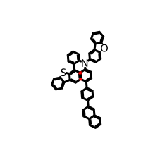 c1ccc(N(c2ccc(-c3ccc(-c4ccc5ccccc5c4)cc3)cc2)c2ccc3oc4ccccc4c3c2)c(-c2cccc3c2sc2ccccc23)c1